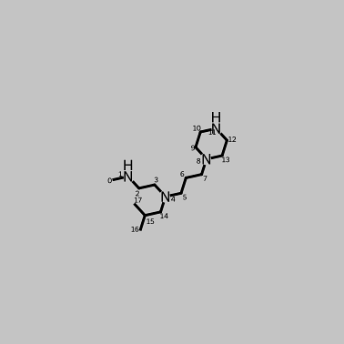 CNCCN(CCCN1CCNCC1)CC(C)C